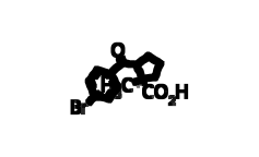 C[C@@]1(C(=O)O)CCCC1C(=O)c1ccc(Br)cc1